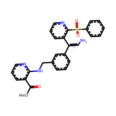 COC(=O)c1cccnc1NCc1cccc(/C(=C/N)c2cccnc2S(=O)(=O)c2ccccc2)c1